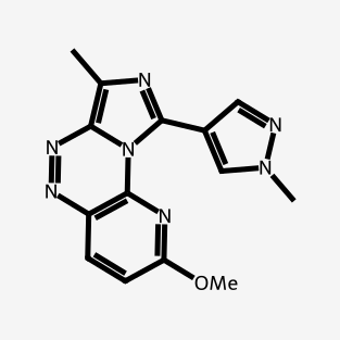 COc1ccc2nnc3c(C)nc(-c4cnn(C)c4)n3c2n1